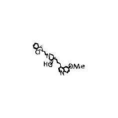 COc1ccc2nccc(CCC[C@@H]3CCN(CCCSc4ccccc4Cl)C[C@@H]3CO)c2c1